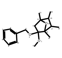 COC1(OCc2ccccc2)CC2(C)OC1(C)C(C)C2C